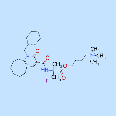 CC(C)(NC(=O)c1cc2c(n(CC3CCCCC3)c1=O)CCCCCC2)C(=O)OCCCC[N+](C)(C)C.[I-]